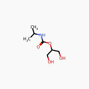 CC(C)NC(=O)OC(CO)CO